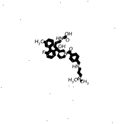 Cc1cccc(-c2c(F)cccc2[C@](O)(CCCNC(=O)O)[C@@H]2CCCN(C(=O)c3ccc(CNCCCN(C)C)cc3)C2)c1